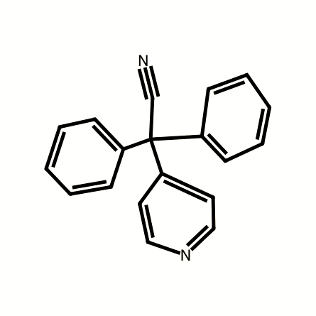 N#CC(c1ccccc1)(c1ccccc1)c1ccncc1